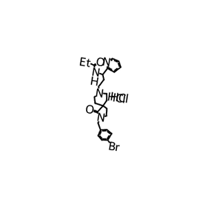 CCC(=O)NC(CCN1CCC2(CC1)CCN(Cc1ccc(Br)cc1)C2=O)c1ccccn1.Cl.Cl